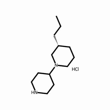 CCC[C@@H]1CCCN(C2CCNCC2)C1.Cl